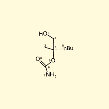 CCCC[C@](C)(CO)OC(N)=O